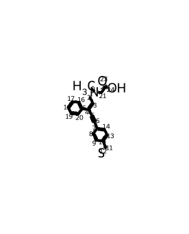 CN(CC=C(C#Cc1ccc(C=S)cc1)c1ccccc1)CC(=O)O